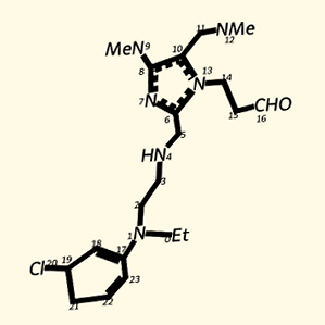 CCN(CCNCc1nc(NC)c(CNC)n1CCC=O)C1=CC(Cl)CC=C1